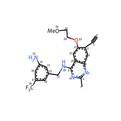 C#Cc1cc2nc(C)nc(NCc3cc(N)cc(C(F)(F)F)c3)c2cc1OCCOC